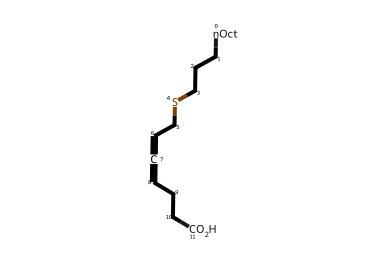 CCCCCCCCCCCSCC=C=CCCC(=O)O